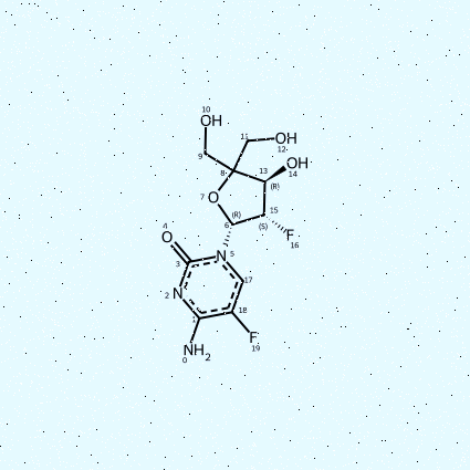 Nc1nc(=O)n([C@@H]2OC(CO)(CO)[C@@H](O)[C@@H]2F)cc1F